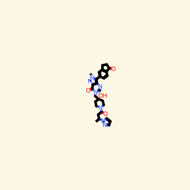 CC(CC(=O)N1CCC(O)(Cn2cnc3c(-c4ccc5c(c4)CCC5=O)n(C)nc3c2=O)CC1)n1cccn1